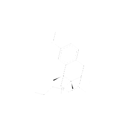 CCCN[C@H]1[C@H]2Cc3ccc(OC)cc3[C@@]1(C)CCN2C